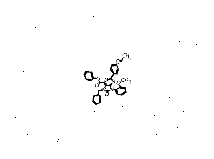 CCOc1ccc(-c2nc(C(=O)Oc3ccccc3)c3c(n2)n(-c2ccccc2OC)c(=O)n3Cc2ccccc2)cc1